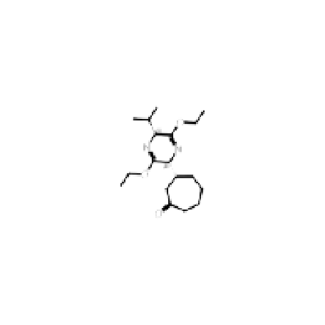 CCOC1=N[C@H](C2CCCCC(=O)C2)C(OCC)=N[C@H]1C(C)C